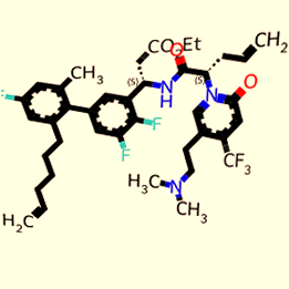 C=CCCCCc1cc(F)cc(C)c1-c1cc(F)c(F)c([C@H](CC(=O)OCC)NC(=O)[C@H](CC=C)n2cc(CCN(C)C)c(C(F)(F)F)cc2=O)c1